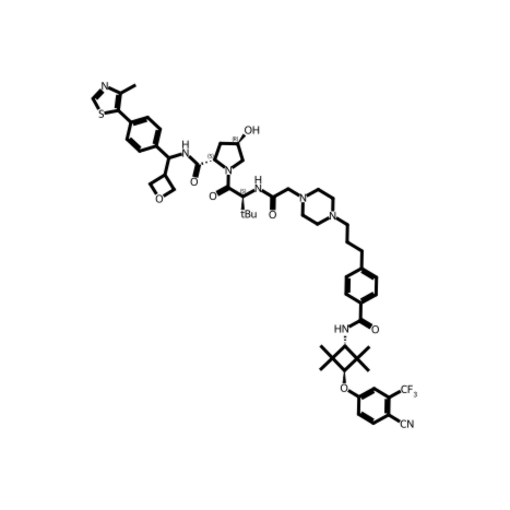 Cc1ncsc1-c1ccc(C(NC(=O)[C@@H]2C[C@@H](O)CN2C(=O)[C@@H](NC(=O)CN2CCN(CCCc3ccc(C(=O)N[C@H]4C(C)(C)[C@H](Oc5ccc(C#N)c(C(F)(F)F)c5)C4(C)C)cc3)CC2)C(C)(C)C)C2COC2)cc1